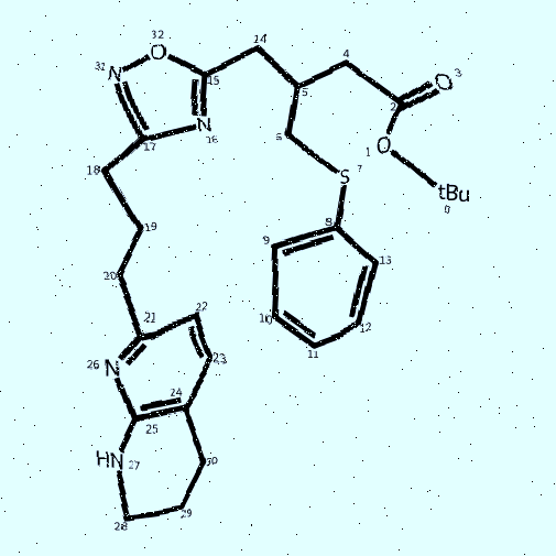 CC(C)(C)OC(=O)CC(CSc1ccccc1)Cc1nc(CCCc2ccc3c(n2)NCCC3)no1